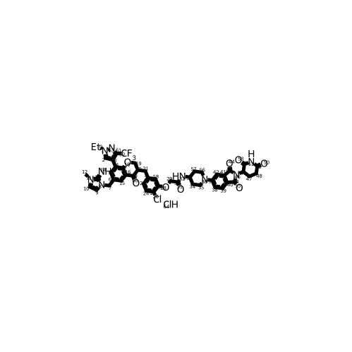 CCn1cc(-c2cc(Cn3ccn(C)c3=N)cc3c2OCC(Cc2ccc(Cl)c(OCC(=O)NC4CCN(c5ccc6c(c5)C(=O)N(C5CCC(=O)NC5=O)C6=O)CC4)c2)C3=O)c(C(F)(F)F)n1.Cl